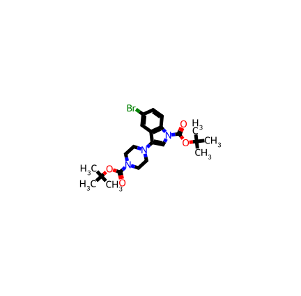 CC(C)(C)OC(=O)N1CCN(c2cn(C(=O)OC(C)(C)C)c3ccc(Br)cc23)CC1